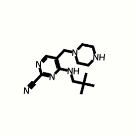 CC(C)(C)CNc1nc(C#N)ncc1CN1CCNCC1